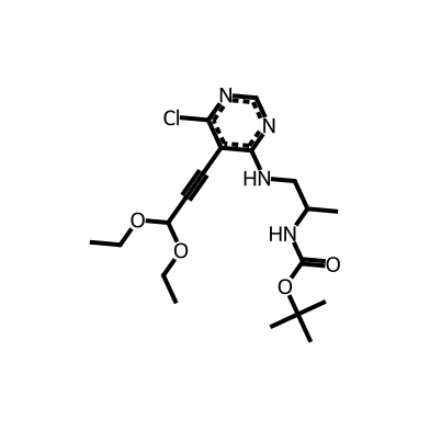 CCOC(C#Cc1c(Cl)ncnc1NCC(C)NC(=O)OC(C)(C)C)OCC